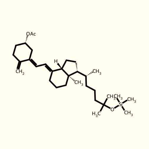 C=C1CC[C@H](OC(C)=O)CC1=C/C=C1\CCC[C@]2(C)[C@@H]([C@H](C)CCCC(C)(C)O[Si](C)(C)C)CC[C@@H]12